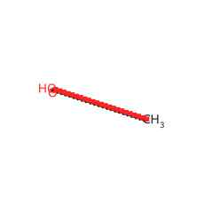 CCCCCCCCCCCCCCCCCCCCCCCCCCCCCCCCCCCCCCCCCCCCCC(=O)O